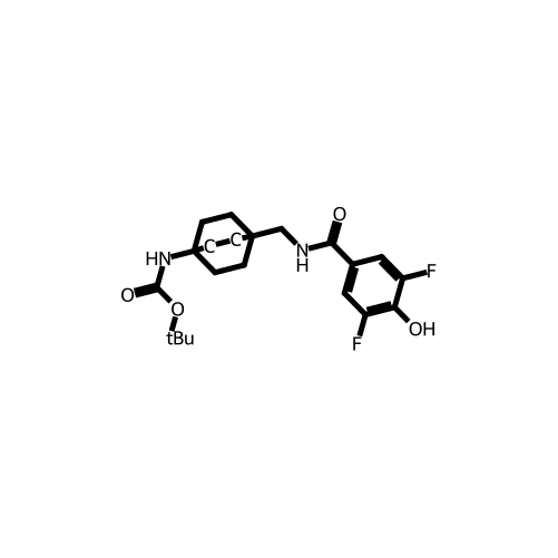 CC(C)(C)OC(=O)NC12CCC(CNC(=O)c3cc(F)c(O)c(F)c3)(CC1)CC2